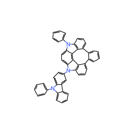 c1ccc(-n2c3ccccc3c3cc(-n4c5cccc6c7ccccc7c7cccc8c7c7c(c65)c4ccc7n8-c4ccccc4)ccc32)cc1